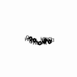 CC1(NCc2ccc(C3CCC(=O)NC3=O)c(F)c2)CCN(c2cnc3c(-c4cccc(Cl)c4Cl)n[nH]c3n2)CC1